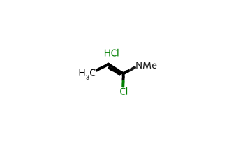 CC=C(Cl)NC.Cl